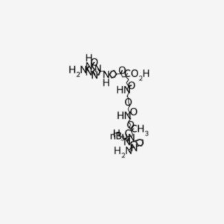 CCCCc1nc2c(N)nc3ccccc3c2n1CC(C)(C)COCCNC(=O)CCOCCCNC(=O)CCC(CC(=O)c1ccc(NCc2cnc3nc(N)[nH]c(=O)c3n2)cc1)C(=O)O